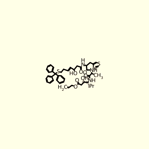 C=CCOC(=O)C[C@H](O)[C@H](NC(=O)C(C)NC(=O)C(Cc1cscn1)NC(=O)CC(O)C=CCCSC(c1ccccc1)(c1ccccc1)c1ccccc1)C(C)C